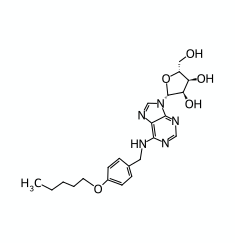 CCCCCOc1ccc(CNc2ncnc3c2ncn3[C@@H]2O[C@H](CO)[C@@H](O)[C@H]2O)cc1